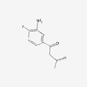 CC(=O)CC(=O)c1ccc(F)c(N)c1